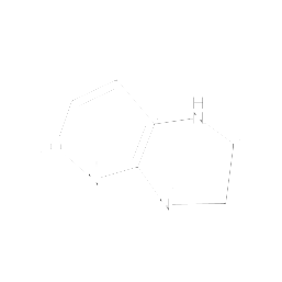 C1=CC2=C(NCCN2)NO1